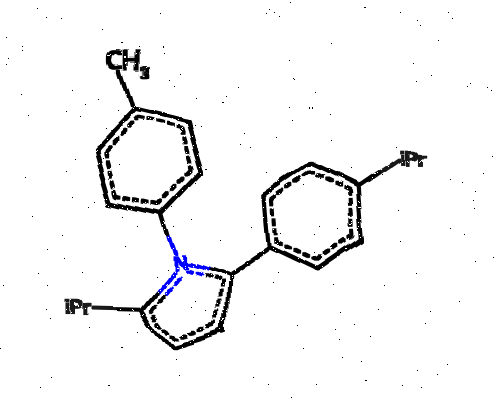 Cc1ccc(-n2c(-c3ccc(C(C)C)cc3)ccc2C(C)C)cc1